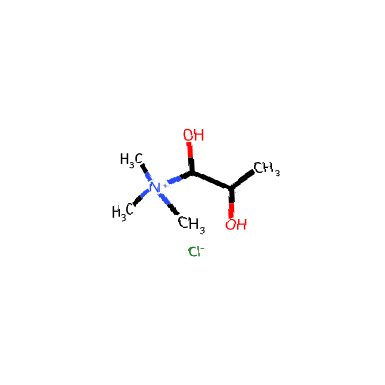 CC(O)C(O)[N+](C)(C)C.[Cl-]